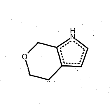 [C]1COCc2[nH]ccc21